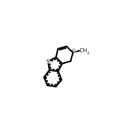 C[C@@H]1C=Cc2sc3ccccc3c2C1